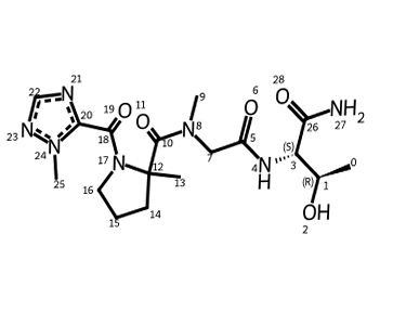 C[C@@H](O)[C@H](NC(=O)CN(C)C(=O)C1(C)CCCN1C(=O)c1ncnn1C)C(N)=O